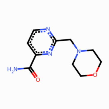 NC(=O)c1ccnc(CN2CCOCC2)n1